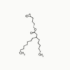 CCCCCCCCC(CCCCCC)CC(=O)OCCCCC1CO1